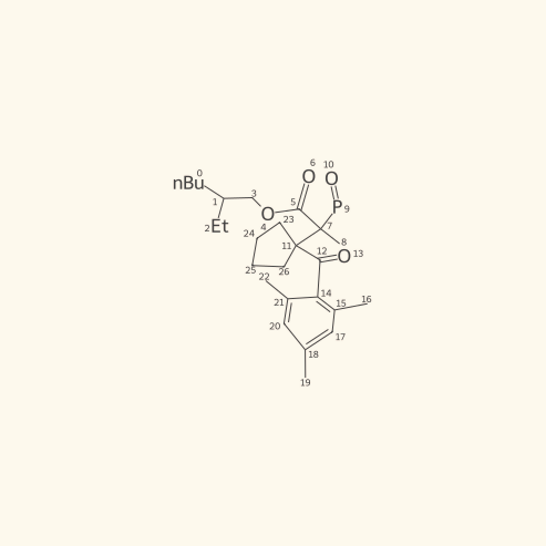 CCCCC(CC)COC(=O)C(C)(P=O)C1(C(=O)c2c(C)cc(C)cc2C)CCCC1